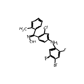 Cc1ccccc1C(=NO)c1ccc(Nc2cc(F)c(Br)cc2F)cc1Cl